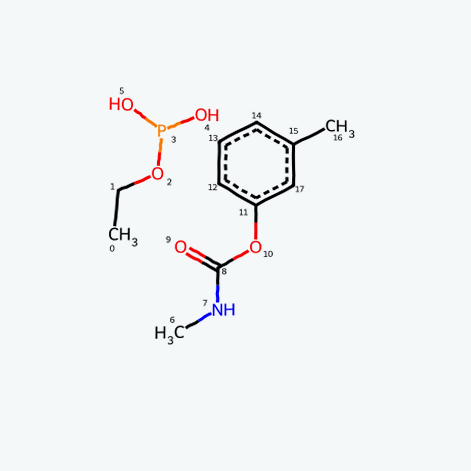 CCOP(O)O.CNC(=O)Oc1cccc(C)c1